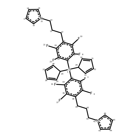 Fc1c(F)[c]([Ti]([c]2c(F)c(F)c(CCCn3cccc3)c(F)c2F)([CH]2C=CC=C2)[CH]2C=CC=C2)c(F)c(F)c1CCCn1cccc1